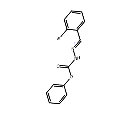 O=C(N/N=C/c1ccccc1Br)Oc1ccccc1